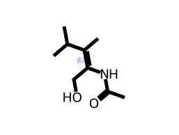 CC(=O)N/C(CO)=C(\C)C(C)C